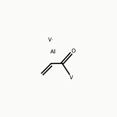 C=C[C](=O)[V].[Al].[V]